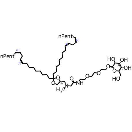 CCCCC/C=C\C/C=C\CCCCCCCCC1(CCCCCCCC/C=C\C/C=C\CCCCC)OC[C@H](CN(C)CC(=O)NCCOCCOCCO[C@@H]2OC(CO)[C@@H](O)[C@H](O)C2O)O1